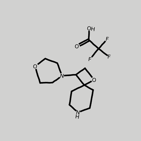 C1CC2(CCN1)OCC2N1CCOCC1.O=C(O)C(F)(F)F